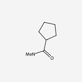 CNC(=O)[C]1CCCC1